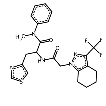 CN(C(=O)C(Cc1cscn1)NC(=O)Cn1nc(C(F)(F)F)c2c1CCCC2)c1ccccc1